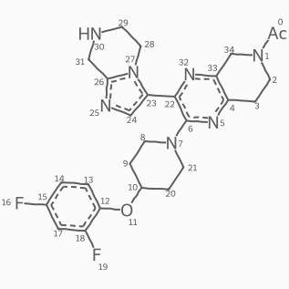 CC(=O)N1CCc2nc(N3CCC(Oc4ccc(F)cc4F)CC3)c(-c3cnc4n3CCNC4)nc2C1